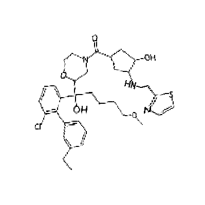 CCc1cccc(-c2c(Cl)cccc2C(O)(CCCCOC)C2CN(C(=O)C3CC(O)C(NCc4nccs4)C3)CCO2)c1